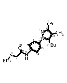 CCCc1nn(-c2ccc(NC(=O)CSCC)cc2)c(C(C)CC)c1C